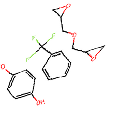 C(OCC1CO1)C1CO1.FC(F)(F)c1ccccc1.Oc1ccc(O)cc1